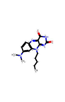 CN(C)c1ccc2nc3c(=O)[nH]c(=O)nc-3n(CCCCC#N)c2c1